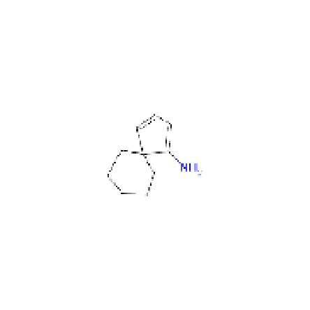 NC1=CC=CC12CCCCC2